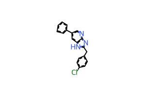 Clc1ccc(Cc2nc3ncc(-c4ccccc4)cc3[nH]2)cc1